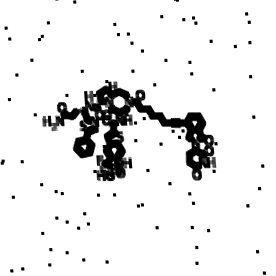 NC(=O)CC[C@H](NC(=O)[C@@H]1CC[C@@H]2CCN(C(=O)CCCCCC#Cc3cccc4c3CN(C3CCC(=O)NC3=O)C4=O)C[C@H](NC(=O)c3cc4cc(C(F)(F)P(=O)(O)O)ccc4s3)C(=O)N21)c1ncc(-c2ccccc2)s1